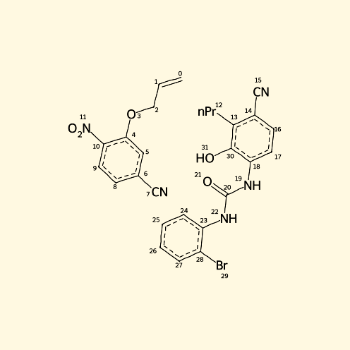 C=CCOc1cc(C#N)ccc1[N+](=O)[O-].CCCc1c(C#N)ccc(NC(=O)Nc2ccccc2Br)c1O